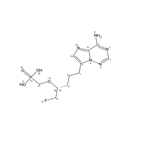 Nc1ncnn2c(CCC[C@H](CF)OCP(=O)(O)O)cnc12